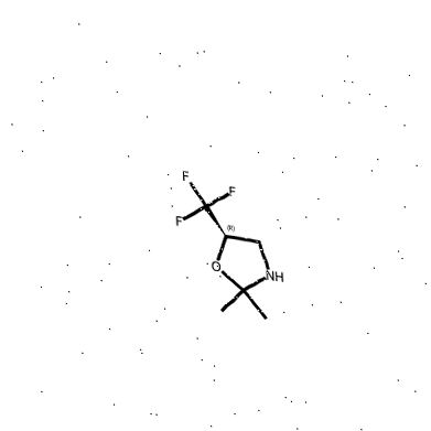 CC1(C)NC[C@H](C(F)(F)F)O1